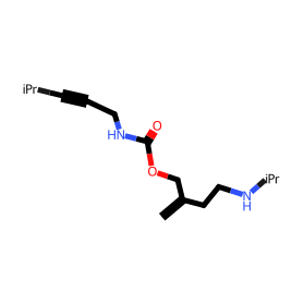 C=C(CCNC(C)C)COC(=O)NCC#CC(C)C